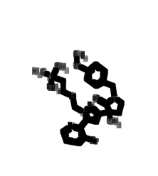 COc1ccc(CN2CCC(C)(c3cc(-c4ncccc4Br)n(COCC[Si](C)(C)C)n3)C2=O)cc1